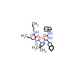 C=CCCNC(=O)C(=O)C(CCC=C)NC(=O)[C@@H]1C2C(CN1C(=O)[C@@H](NC(=O)NC13CC4CC(CC(C4)C1)C3)C1Cc3ccccc3C1)C2(C)C